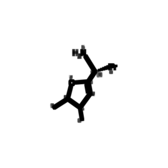 CC1C=C([C@H](N)C(C)C)OC1C